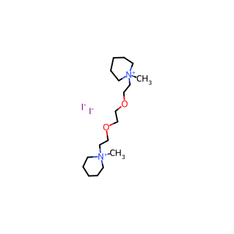 C[N+]1(CCOCCOCC[N+]2(C)CCCCC2)CCCCC1.[I-].[I-]